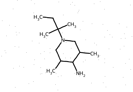 CCC(C)(C)N1CC(C)C(N)C(C)C1